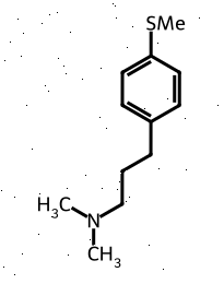 CSc1ccc(CCCN(C)C)cc1